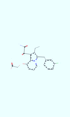 CCc1c(C(=O)C(N)=O)c2c(OCC(=O)O)cccn2c1Cc1cccc(Cl)c1